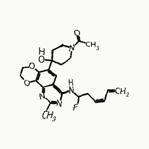 C=C/C=C\CC(F)Nc1nc(C)nc2c3c(c(C4(O)CCN(C(C)=O)CC4)cc12)OCCO3